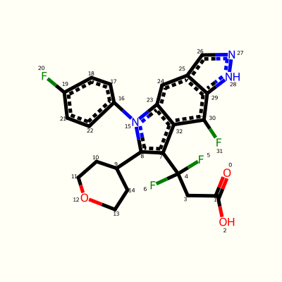 O=C(O)CC(F)(F)c1c(C2CCOCC2)n(-c2ccc(F)cc2)c2cc3cn[nH]c3c(F)c12